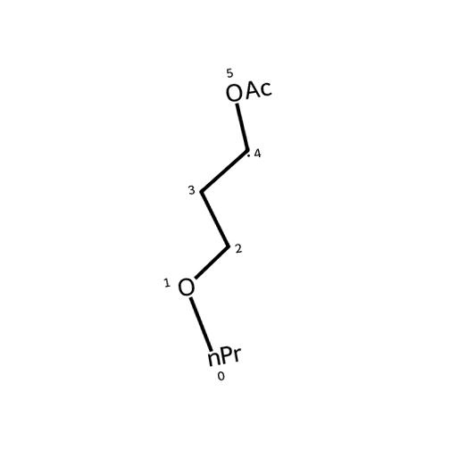 CCCOCC[CH]OC(C)=O